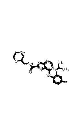 CC(C)Oc1cc(F)ccc1Nc1ncnc2sc(C(=O)NCC3CNCCO3)nc12